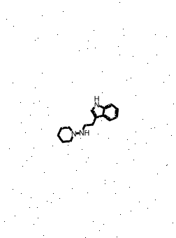 c1ccc2c(CCNN3CCCCC3)c[nH]c2c1